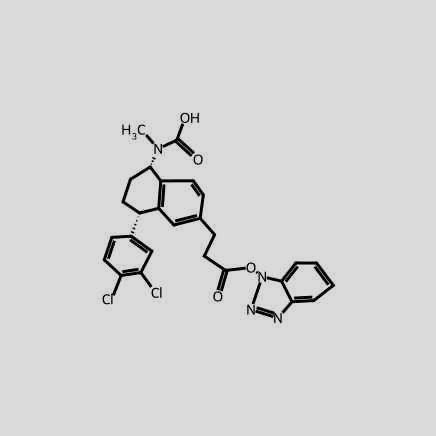 CN(C(=O)O)[C@H]1CC[C@@H](c2ccc(Cl)c(Cl)c2)c2cc(CCC(=O)On3nnc4ccccc43)ccc21